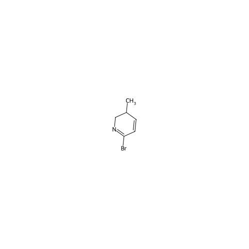 CC1C=CC(Br)=NC1